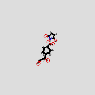 O=CC(=O)c1ccc(C(=O)ON2C(=O)CCC2=O)cc1